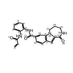 C=CC(=O)Nc1ccccc1NC(=O)c1ccc2cc3n(c2c1)CCCNC3=O